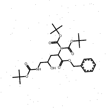 CC(C)(C)OC(=O)NCC(O)CC(C(=O)OCc1ccccc1)N(C(=O)OC(C)(C)C)C(=O)OC(C)(C)C